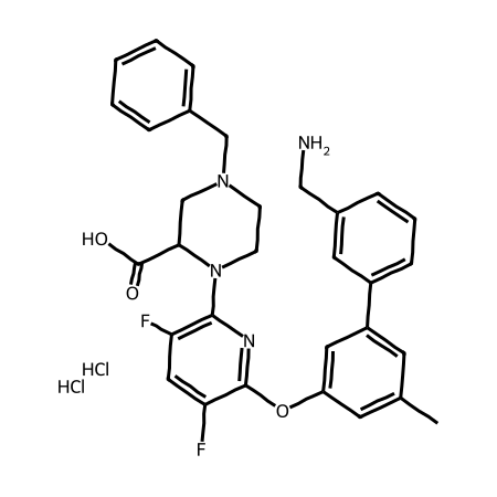 Cc1cc(Oc2nc(N3CCN(Cc4ccccc4)CC3C(=O)O)c(F)cc2F)cc(-c2cccc(CN)c2)c1.Cl.Cl